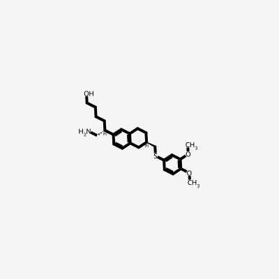 COc1ccc(SC[C@@H]2CCc3cc([C@H](CN)CCCCO)ccc3C2)cc1OC